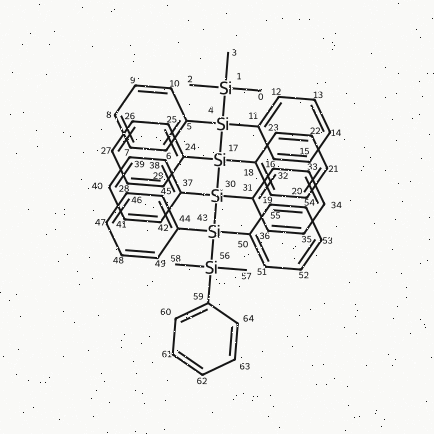 C[Si](C)(C)[Si](c1ccccc1)(c1ccccc1)[Si](c1ccccc1)(c1ccccc1)[Si](c1ccccc1)(c1ccccc1)[Si](c1ccccc1)(c1ccccc1)[Si](C)(C)c1ccccc1